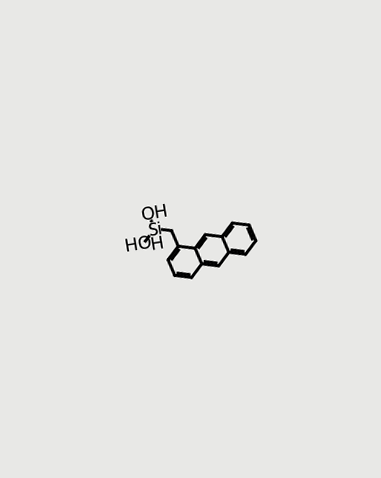 O[SiH](O)Cc1cccc2cc3ccccc3cc12